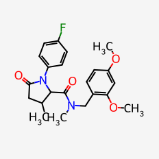 COc1ccc(CN(C)C(=O)C2C(C)CC(=O)N2c2ccc(F)cc2)c(OC)c1